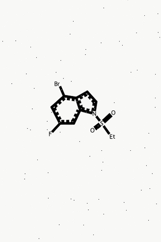 CCS(=O)(=O)n1ccc2c(Br)cc(F)cc21